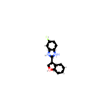 Fc1ccc2[nH]c(-c3coc4ccccc34)nc2c1